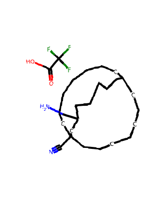 N#CC12CCCCCCCC(CCCCCCC1)CCCCCC(N)C2.O=C(O)C(F)(F)F